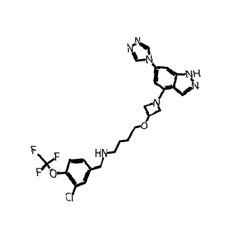 FC(F)(F)Oc1ccc(CNCCCCOC2CN(c3cc(-n4cnnc4)cc4[nH]ncc34)C2)cc1Cl